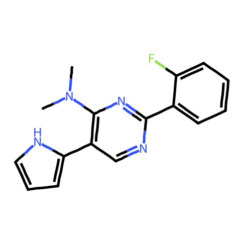 CN(C)c1nc(-c2ccccc2F)ncc1-c1ccc[nH]1